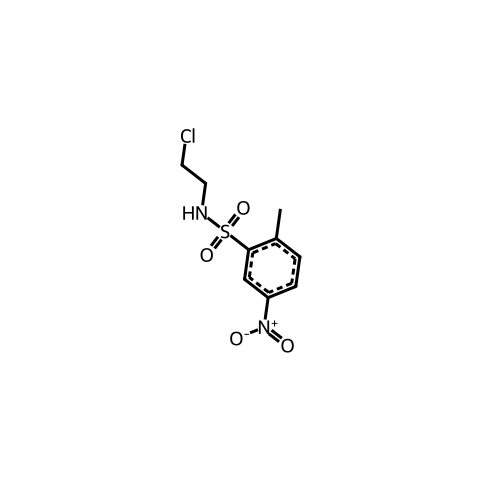 Cc1ccc([N+](=O)[O-])cc1S(=O)(=O)NCCCl